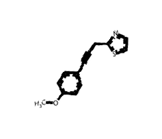 COc1ccc(C#CCc2nccs2)cc1